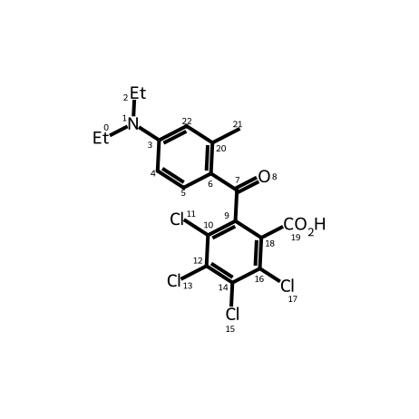 CCN(CC)c1ccc(C(=O)c2c(Cl)c(Cl)c(Cl)c(Cl)c2C(=O)O)c(C)c1